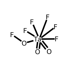 [O]=[Ta](=[O])([F])([F])([F])([F])([F])[O]F